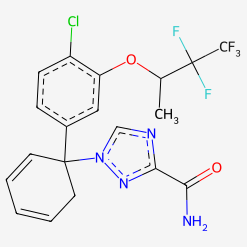 CC(Oc1cc(C2(n3cnc(C(N)=O)n3)C=CC=CC2)ccc1Cl)C(F)(F)C(F)(F)F